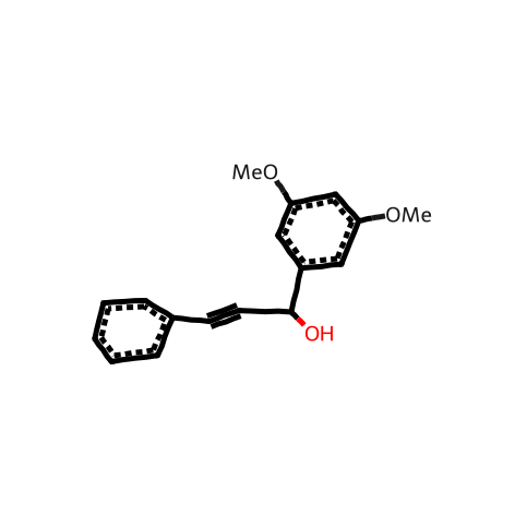 COc1cc(OC)cc(C(O)C#Cc2ccccc2)c1